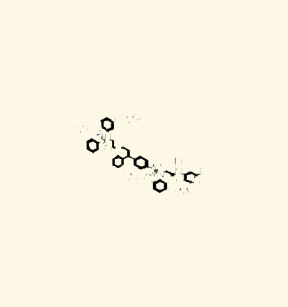 COc1ccc(OC)c(N(CC(=O)Nc2ccnc(F)c2)S(=O)(=O)c2ccc(C3CCN(C(=O)CN(c4cc(OC)ccc4OC)S(=O)(=O)c4ccccc4)c4ccccc43)cc2)c1